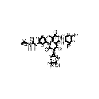 Cc1c(=O)n(C)c(Nc2ccc(I)cc2F)c2c(=O)n(C3CC3)c(=O)n(-c3cccc(NC(=O)NC4CC4)c3)c12.O=C(O)C(F)(F)F